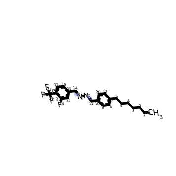 CCCCCCCc1ccc(/C=N/N=C/c2ccc(C(F)(F)F)c(F)c2)cc1